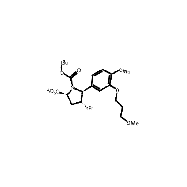 COCCCOc1cc([C@H]2[C@H](C(C)C)C[C@@H](C(=O)O)N2C(=O)OC(C)(C)C)ccc1OC